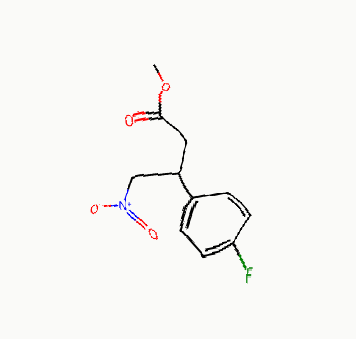 COC(=O)CC(C[N+](=O)[O-])c1ccc(F)cc1